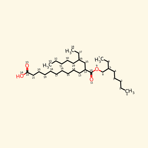 CCCCCC(CC)COC(=O)C(CCCCCCCCCC(=O)O)CC(CC)CCCCC